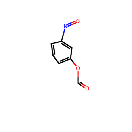 O=COc1cccc(N=O)c1